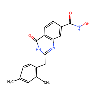 Cc1ccc(Cc2nc3cc(C(=O)NO)ccc3c(=O)[nH]2)c(C)c1